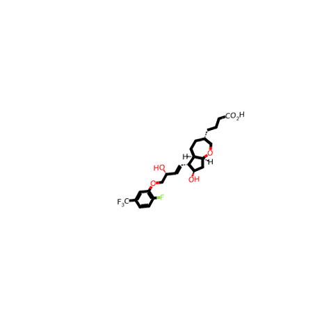 O=C(O)CCC[C@H]1CC[C@@H]2[C@@H](C=C[C@@H](O)COc3cc(C(F)(F)F)ccc3F)[C@H](O)C[C@@H]2OC1